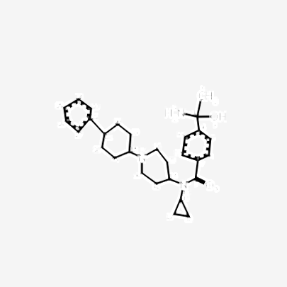 CC(N)(O)c1ccc(C(=O)N(C2CC2)C2CCN(C3CCC(c4ccccc4)CC3)CC2)cc1